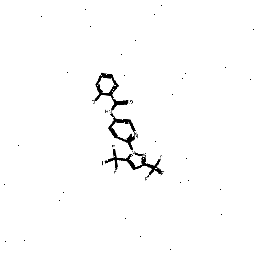 O=C(Nc1ccc(-n2nc(C(F)(F)F)cc2C(F)(F)F)nc1)c1ccccc1Cl